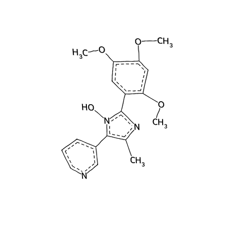 COc1cc(OC)c(-c2nc(C)c(-c3cccnc3)n2O)cc1OC